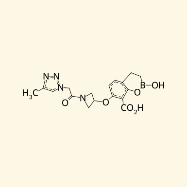 Cc1cn(CC(=O)N2CC(Oc3ccc4c(c3C(=O)O)OB(O)CC4)C2)nn1